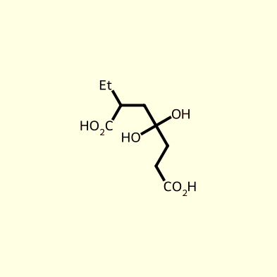 CCC(CC(O)(O)CCC(=O)O)C(=O)O